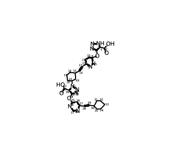 O=C(O)c1[nH]nnc1Oc1ccc(C#CC2CCCC(n3nnc(Oc4cc(C#CC5CCCCC5)ncn4)c3C(=O)O)C2)nn1